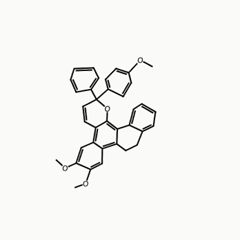 COc1ccc(C2(c3ccccc3)C=Cc3c(c4c(c5cc(OC)c(OC)cc35)CCc3ccccc3-4)O2)cc1